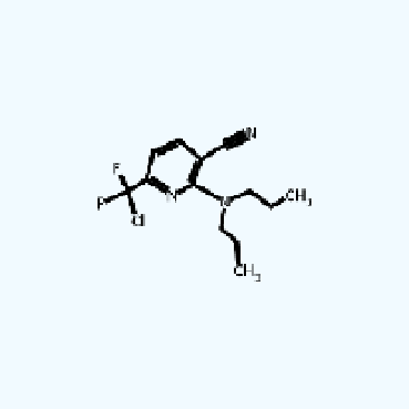 CCCN(CCC)c1nc(C(F)(F)Cl)ccc1C#N